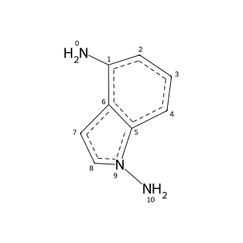 Nc1cccc2c1ccn2N